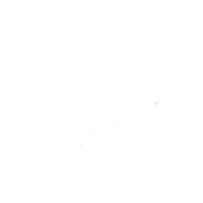 Cc1ccc(OCC2CN(c3ccc(O)cc3)C(=O)CO2)c2ncccc12